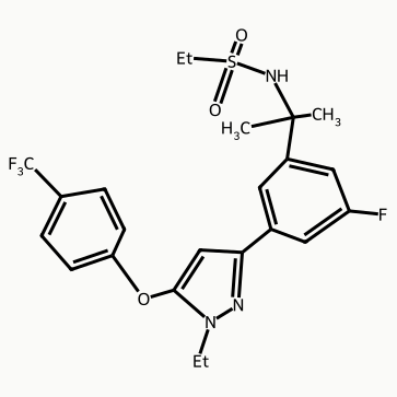 CCn1nc(-c2cc(F)cc(C(C)(C)NS(=O)(=O)CC)c2)cc1Oc1ccc(C(F)(F)F)cc1